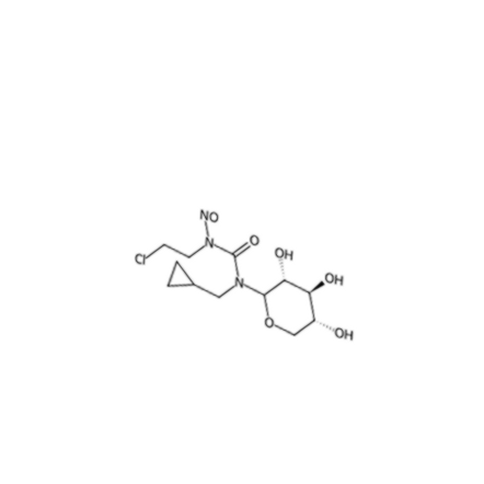 O=NN(CCCl)C(=O)N(CC1CC1)C1OC[C@@H](O)[C@H](O)[C@H]1O